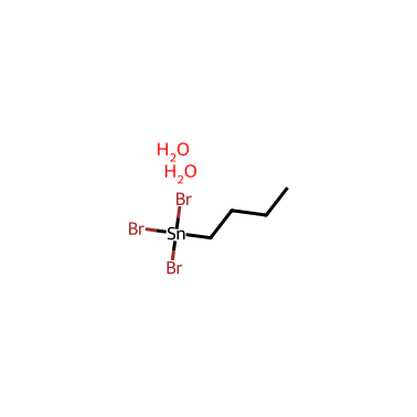 CCC[CH2][Sn]([Br])([Br])[Br].O.O